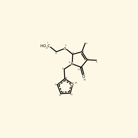 CC1=C(C)C(SCC(=O)O)N(Cc2cccs2)C1=O